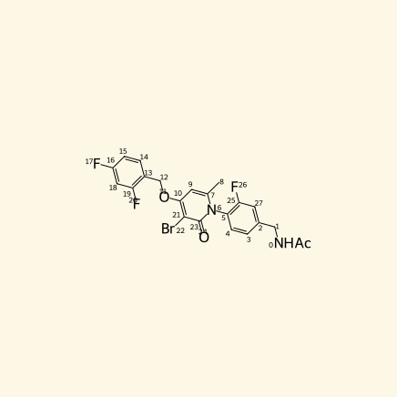 CC(=O)NCc1ccc(-n2c(C)cc(OCc3ccc(F)cc3F)c(Br)c2=O)c(F)c1